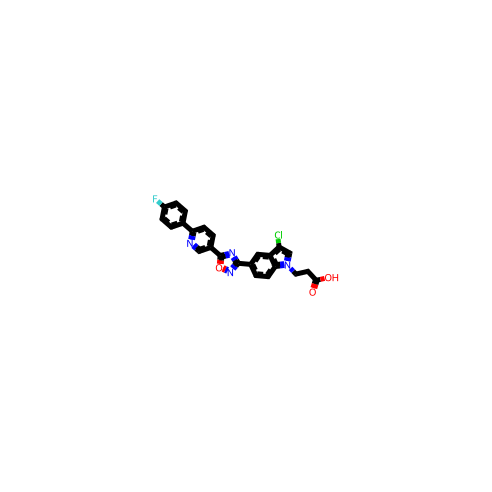 O=C(O)CCn1cc(Cl)c2cc(-c3noc(-c4ccc(-c5ccc(F)cc5)nc4)n3)ccc21